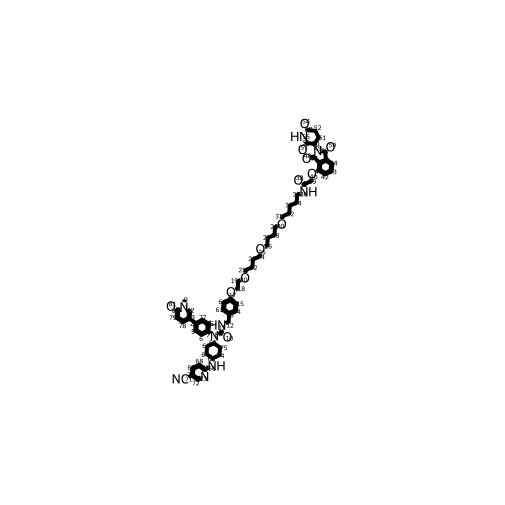 Cn1cc(-c2ccc(N(C(=O)NCc3ccc(OCCOCCCCOCCCCOCCCCCNC(=O)COc4cccc5c4C(=O)N(C4CCC(=O)NC4=O)C5=O)cc3)[C@H]3CC[C@H](Nc4ccc(C#N)cn4)CC3)cc2)ccc1=O